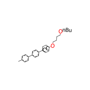 [CH2+][CH-]CCOCCCCOC12CCC(c3ccc(-c4ccc(C)cc4)cc3)(CC1)CC2